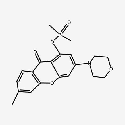 Cc1ccc2c(=O)c3c(OP(C)(C)=O)cc(N4CCOCC4)cc3oc2c1